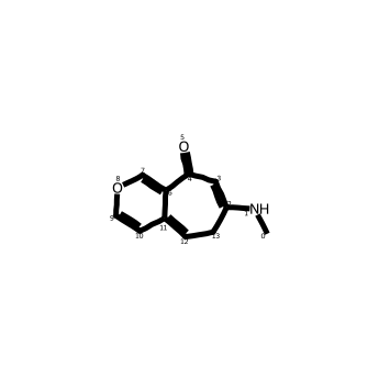 CNC1=CC(=O)C2=COC=CC2=CC1